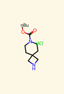 CCCCOC(=O)N1CCC2(CC1)CNC2.Cl